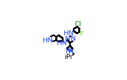 CC(C)Cn1cc(-c2cnc(Nc3cc(F)cc(Cl)c3)nc2Nc2ccc3c(c2)CNCC3)cn1